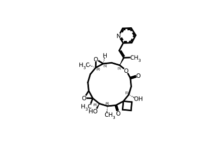 CC(=Cc1ccccn1)[C@@H]1C[C@@H]2O[C@]2(C)CCC2OC2(C)[C@H](O)[C@@H](C)C(=O)C2(CCC2)[C@@H](O)CC(=O)O1